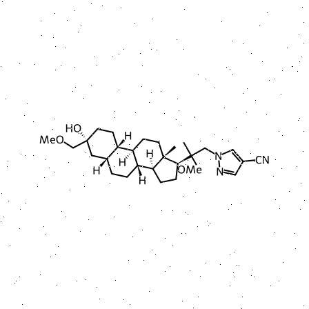 COC[C@@]1(O)CC[C@H]2[C@H](CC[C@@H]3[C@@H]2CC[C@]2(C)[C@@H](C(C)(Cn4cc(C#N)cn4)OC)CC[C@@H]32)C1